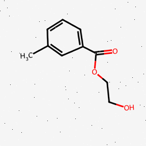 Cc1cccc(C(=O)OCCO)c1